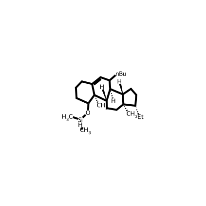 CCCCC1C=C2CCCC(O[SiH](C)C)[C@]2(C)[C@H]2CC[C@]3(C)[C@@H](CC)CC[C@H]3[C@H]12